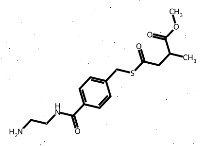 COC(=O)C(C)CC(=O)SCc1ccc(C(=O)NCCN)cc1